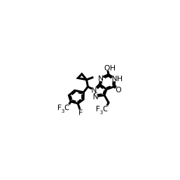 CC1(C(c2ccc(C(F)(F)F)c(F)c2)n2nc(CC(F)(F)F)c3c(=O)[nH]c(O)nc32)CC1